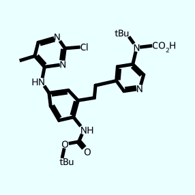 Cc1cnc(Cl)nc1Nc1ccc(NC(=O)OC(C)(C)C)c(CCc2cncc(N(C(=O)O)C(C)(C)C)c2)c1